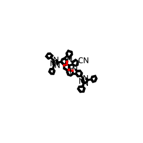 N#Cc1cc(-n2c3ccccc3c3cc(-c4nc(-c5ccccc5)nc(-c5ccccc5)n4)ccc32)c(-c2c(F)cccc2F)c(-n2c3ccccc3c3cc(-c4nc(-c5ccccc5)nc(-c5ccccc5)n4)ccc32)c1